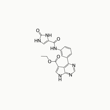 CCOC(=O)c1c[nH]c2ncnc(-c3cccc(NC(=O)c4c[nH]c(=O)[nH]4)c3)c12